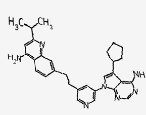 CC(C)c1cc(N)c2ccc(CCc3cncc(-n4cc(C5CCCC5)c5c(N)ncnc54)c3)cc2n1